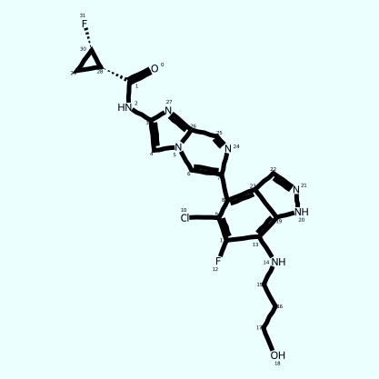 O=C(Nc1cn2cc(-c3c(Cl)c(F)c(NCCCO)c4[nH]ncc34)ncc2n1)[C@@H]1C[C@@H]1F